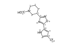 O=C(O)N1CCCC(c2noc(-c3cc(C(F)(F)F)c[nH]3)n2)C1